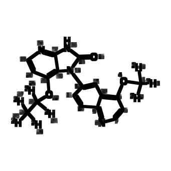 [2H]C([2H])([2H])Oc1ccnc2ccc(-n3c(=O)[nH]c4nccc(OC([2H])([2H])C([2H])([2H])[2H])c43)cc12